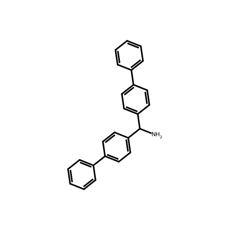 NC(c1ccc(-c2ccccc2)cc1)c1ccc(-c2ccccc2)cc1